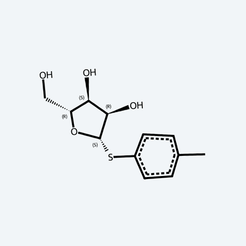 Cc1ccc(S[C@@H]2O[C@H](CO)[C@@H](O)[C@H]2O)cc1